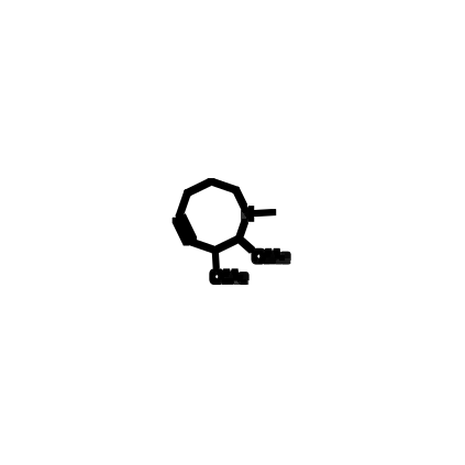 COC1C#CCCCN(C)C1OC